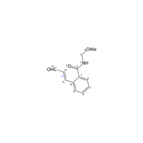 COCNC(=O)c1ccccc1/C=C/[C]=O